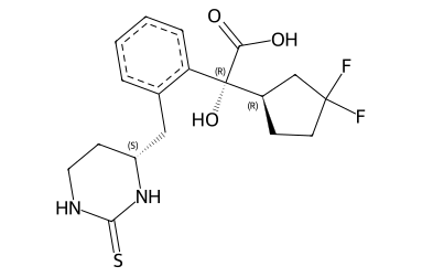 O=C(O)[C@](O)(c1ccccc1C[C@H]1CCNC(=S)N1)[C@@H]1CCC(F)(F)C1